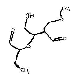 CCC(C=O)OC(CO)C(C=O)COC